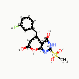 CS(=O)(=O)c1nc2oc(=O)cc(Cc3cccc(F)c3)c2c(=O)[nH]1